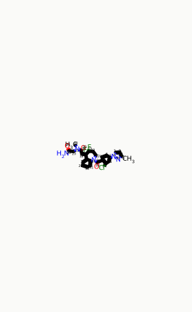 Cc1ccn(-c2ccc(C(=O)N3CCC(F)(F)C(=CC(=O)N(C)CC(N)=O)c4ccccc43)c(Cl)c2)n1